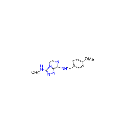 COc1ccc(CCNc2nccn3c(NC=O)nnc23)cc1